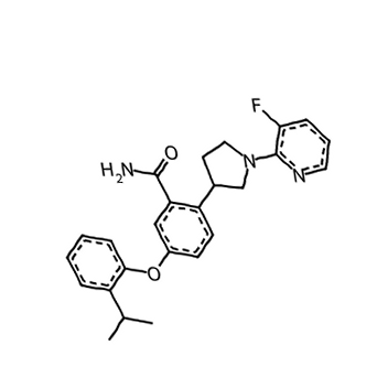 CC(C)c1ccccc1Oc1ccc(C2CCN(c3ncccc3F)C2)c(C(N)=O)c1